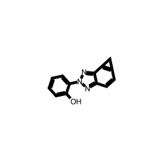 Oc1ccccc1-n1nc2ccc3c(c2n1)C3